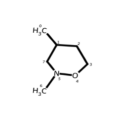 CC1CCON(C)C1